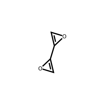 C1=C(C2=CO2)O1